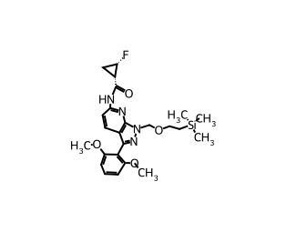 COc1cccc(OC)c1-c1nn(COCC[Si](C)(C)C)c2nc(NC(=O)[C@@H]3C[C@@H]3F)ccc12